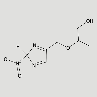 CC(CO)OCC1=NC(F)([N+](=O)[O-])N=C1